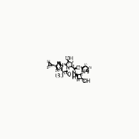 CC(C)(C)C(C(=O)N1CC(O)CC1C(=O)NC1CC(O)C1n1cccn1)n1cc(C2CC2)nn1